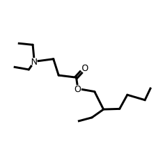 CCCCC(CC)COC(=O)CCN(CC)CC